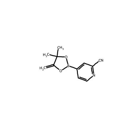 C=C1OB(c2ccnc(C#N)c2)OC1(C)C